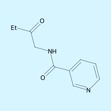 CCC(=O)CNC(=O)c1cccnc1